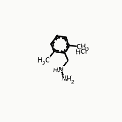 Cc1cccc(C)c1CNN.Cl